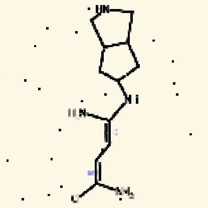 N/C(Cl)=C\C=C(/N)NC1CC2CNCC2C1